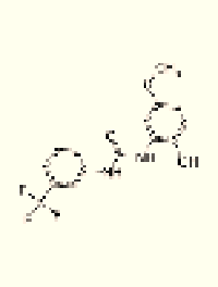 COc1ccc(O)c(NC(=O)Nc2cccc(C(F)(F)F)c2)c1